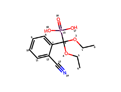 CCOC(OCC)(c1ccccc1C#N)P(=O)(O)O